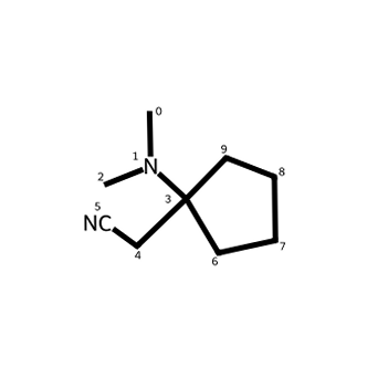 CN(C)C1(CC#N)CCCC1